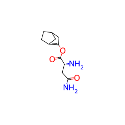 NC(=O)C[C@H](N)C(=O)OC1=C2CCC(C2)C1